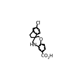 O=C(O)c1ccc2c(c1)NCC1(CCc3cc(Cl)ccc31)CO2